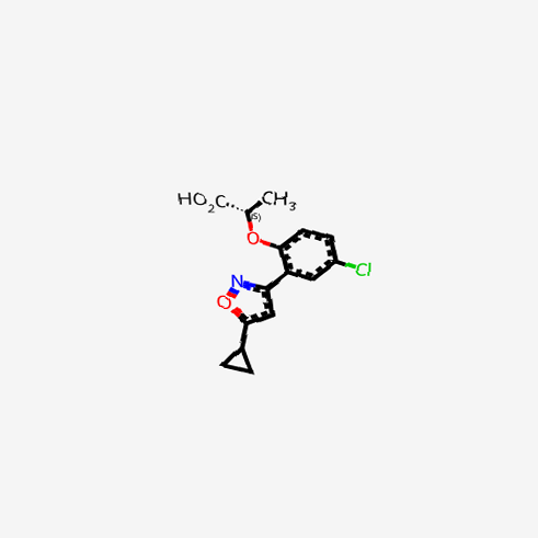 C[C@H](Oc1ccc(Cl)cc1-c1cc(C2CC2)on1)C(=O)O